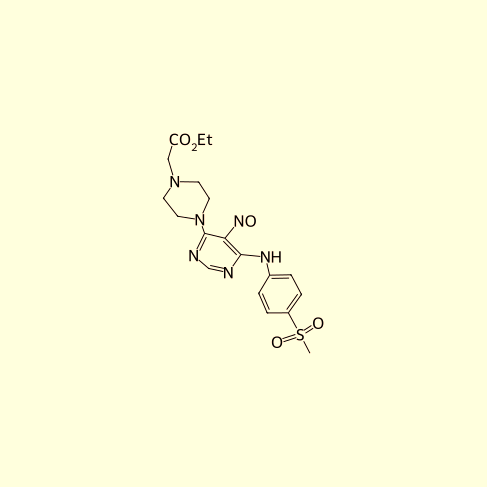 CCOC(=O)CN1CCN(c2ncnc(Nc3ccc(S(C)(=O)=O)cc3)c2N=O)CC1